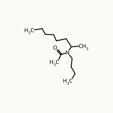 CCCCCCC(C)N(CCCC)C(C)=O